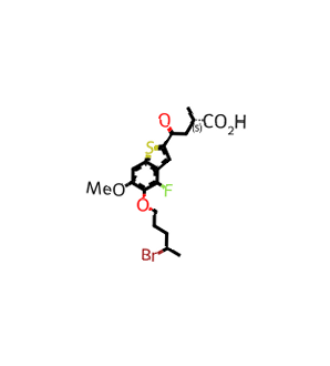 COc1cc2sc(C(=O)C[C@H](C)C(=O)O)cc2c(F)c1OCCCC(C)Br